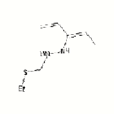 C=C/C(=C/C)NNCSCC